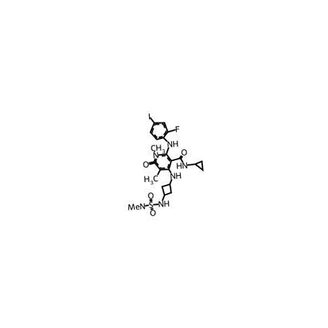 CNS(=O)(=O)NC1CC(Nc2c(C(=O)NC3CC3)c(Nc3ccc(I)cc3F)n(C)c(=O)c2C)C1